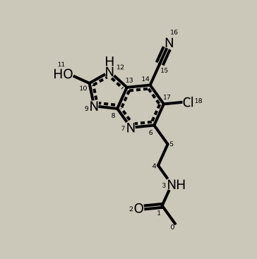 CC(=O)NCCc1nc2nc(O)[nH]c2c(C#N)c1Cl